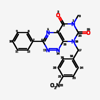 Cn1c(=O)c2nc(-c3ccccc3)nnc2n(Cc2ccc([N+](=O)[O-])cc2)c1=O